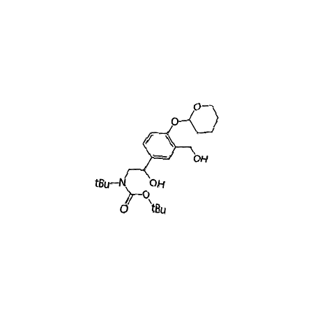 CC(C)(C)OC(=O)N(CC(O)c1ccc(OC2CCCCO2)c(CO)c1)C(C)(C)C